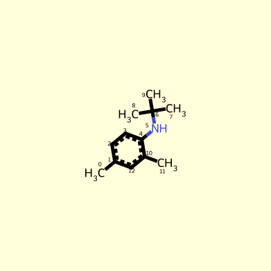 Cc1ccc(NC(C)(C)C)c(C)c1